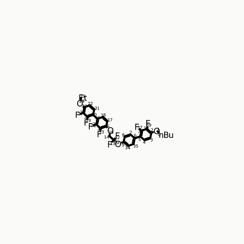 CCCCOc1ccc(-c2ccc(OC(F)(F)COc3ccc(-c4ccc(OCC)c(F)c4F)c(F)c3F)cc2)c(F)c1F